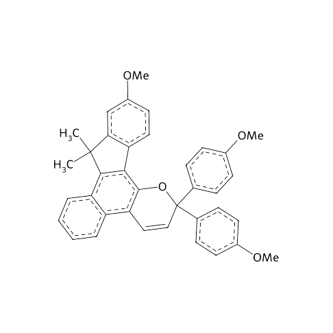 COc1ccc(C2(c3ccc(OC)cc3)C=Cc3c(c4c(c5ccccc35)C(C)(C)c3cc(OC)ccc3-4)O2)cc1